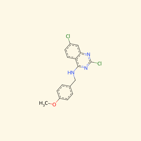 COc1ccc(CNc2nc(Cl)nc3cc(Cl)ccc23)cc1